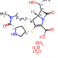 C[C@@H](O)[C@H]1C(=O)N2C(C(=O)O)=C(S[C@@H]3CN[C@H](C(=O)N(C)C)C3)[C@H](C)[C@H]12.O.O.O